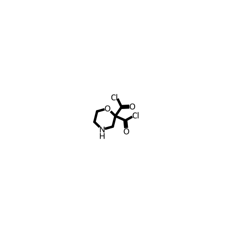 O=C(Cl)C1(C(=O)Cl)CNCCO1